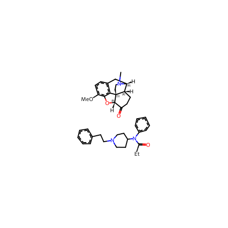 CCC(=O)N(c1ccccc1)C1CCN(CCc2ccccc2)CC1.COc1ccc2c3c1O[C@H]1C(=O)CC[C@H]4[C@@H](C2)N(C)CC[C@]314